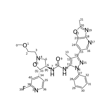 COCCN1C[C@@H](NC(=O)Nc2c(C)c(-c3cnc4nc(C)oc4c3)nn2-c2ccccc2)[C@H](c2ccnc(F)c2)O1